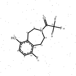 O=C(N1CCc2c(O)ccc(F)c2CC1)C(F)(F)F